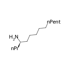 CCCCCCCCCC[C@H](N)CCC